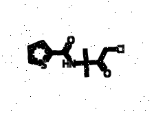 CC(C)(NC(=O)c1cccs1)C(=O)CCl